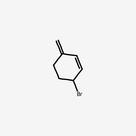 C=C1C=CC(Br)CC1